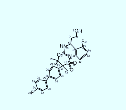 CC1(C)OC(N[C@@H](CCO)c2ccccc2F)=NS(=O)(=O)C1(C)c1ccc(-c2ccc(F)cc2)cc1